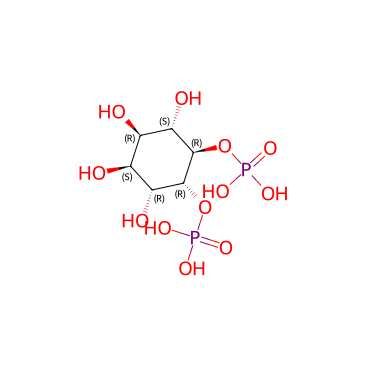 O=P(O)(O)O[C@@H]1[C@H](O)[C@@H](O)[C@@H](O)[C@H](O)[C@H]1OP(=O)(O)O